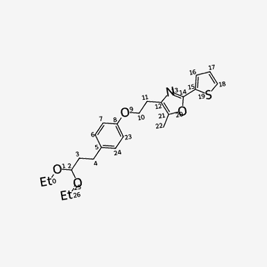 CCOC(CCc1ccc(OCCc2nc(-c3cccs3)oc2C)cc1)OCC